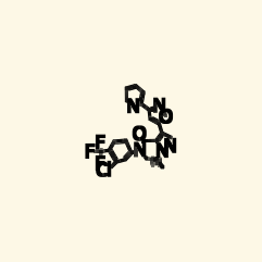 C[C@H]1CN(c2ccc(C(F)(F)F)c(Cl)c2)C(=O)c2c(-c3cc(-c4ccccn4)no3)cnn21